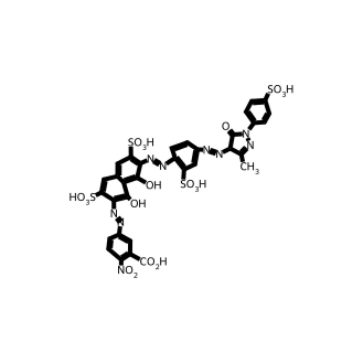 CC1=NN(c2ccc(S(=O)(=O)O)cc2)C(=O)C1N=Nc1ccc(N=Nc2c(S(=O)(=O)O)cc3cc(S(=O)(=O)O)c(N=Nc4ccc([N+](=O)[O-])c(C(=O)O)c4)c(O)c3c2O)c(S(=O)(=O)O)c1